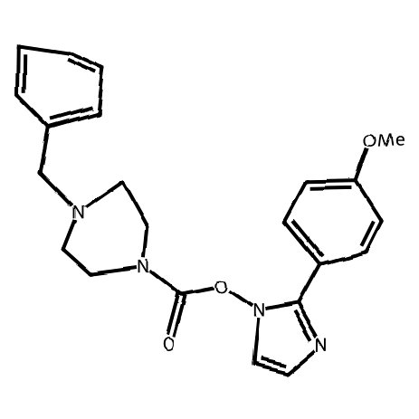 COc1ccc(-c2nccn2OC(=O)N2CCN(Cc3ccccc3)CC2)cc1